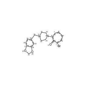 O=c1c(Br)ccccc1N1CCN(Cc2ccc3c(c2)OCO3)CC1